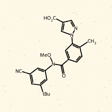 CON(C(=O)c1ccc(C)c(-n2cc(C(=O)O)cn2)c1)c1cc(C#N)cc(C(C)(C)C)c1